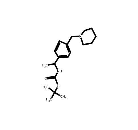 CC(NC(=O)OC(C)(C)C)c1ccc(CN2CCCCC2)cc1